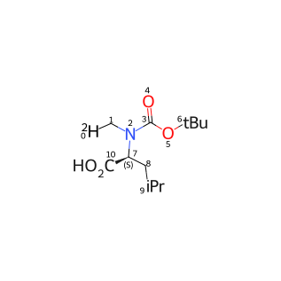 [2H]CN(C(=O)OC(C)(C)C)[C@@H](CC(C)C)C(=O)O